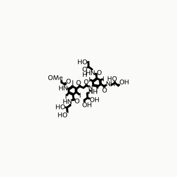 COCC(=O)Nc1c(I)c(C(=O)CC(=O)N(NCC(O)CO)c2c(I)c(C(=O)NCC(O)CO)c(I)c(C(=O)NCC(O)CO)c2I)c(I)c(C(=O)NCC(O)CO)c1I